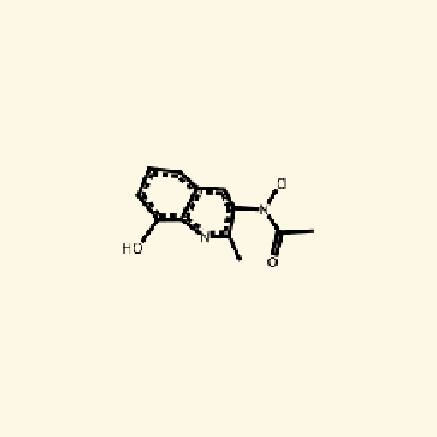 CC(=O)N(Cl)c1cc2cccc(O)c2nc1C